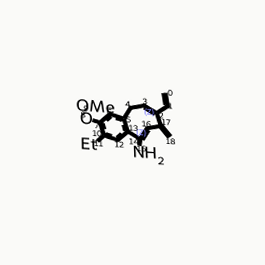 C=C/C1=C/Cc2cc(OOC)c(CC)cc2/C(N)=C/C1=C